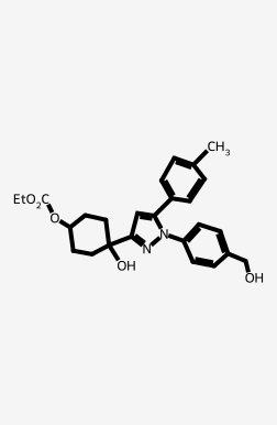 CCOC(=O)OC1CCC(O)(c2cc(-c3ccc(C)cc3)n(-c3ccc(CO)cc3)n2)CC1